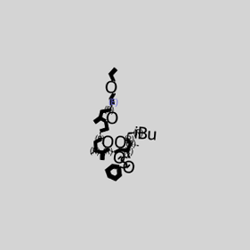 C=CCOC/C=C/[C@H]1CC(=C)C(CC[C@H]2C[C@@H](C)C(=C)[C@@H](CC3O[C@H](C[C@H](C)CC)[C@H](C)[C@H]3CS(=O)(=O)c3ccccc3)O2)O1